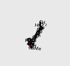 C=CC(=O)Nc1cc(F)cc(S(=O)(=O)c2ccc(N3CC(F)(CN4CCC(C(c5cccc(F)c5)([C@H]5CCC[C@@H]5NC(=O)OC)N5CCC5)CC4)C3)c(F)c2)c1